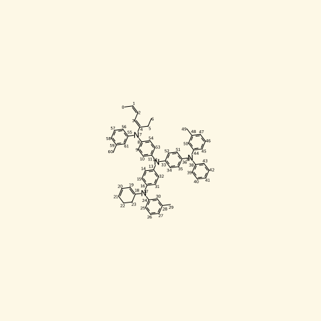 C/C=C\C=C(/CC)N(c1ccc(N(c2ccc(N(C3=CC=CCC3)c3cccc(C)c3)cc2)c2ccc(N(c3ccccc3)c3cccc(C)c3)cc2)cc1)c1cccc(C)c1